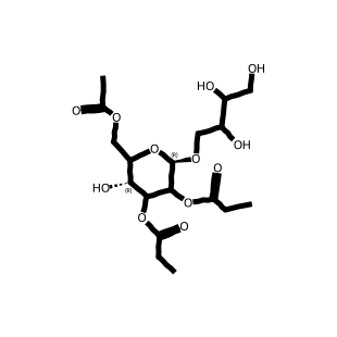 CCC(=O)OC1C(OC(=O)CC)[C@H](O)C(COC(C)=O)O[C@H]1OCC(O)C(O)CO